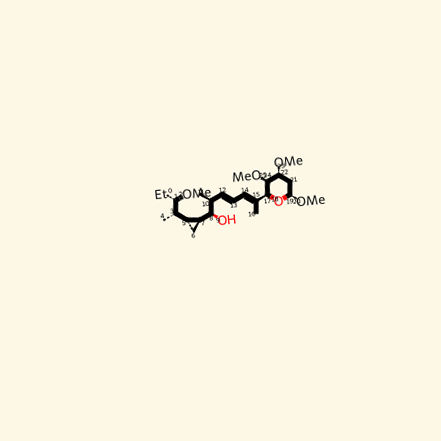 CC[C@H](OC)[C@@H](C)[C@H]1C[C@@H]1[C@H](O)[C@@H](C)/C=C/C=C(\C)[C@@H]1O[C@@H](OC)C[C@@H](OC)[C@@H]1OC